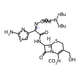 CCCCN(CCCC)CCCC.CO/N=C(\C(=O)NC1C(=O)N2C(C(=O)O)=C(CO)CS[C@H]12)c1csc(N)n1